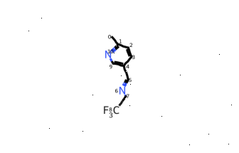 Cc1ccc(/C=N/CC(F)(F)F)cn1